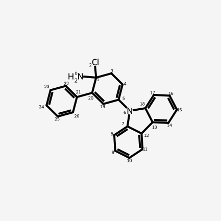 NC1(Cl)CC=C(n2c3ccccc3c3ccccc32)C=C1c1ccccc1